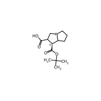 CC(C)(C)OC(=O)[C@H]1C(C(=O)O)CN2CCCC12